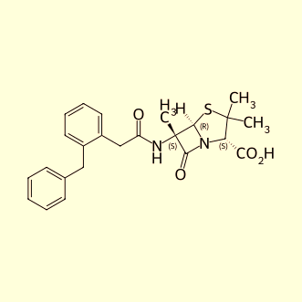 CC1(C)S[C@H]2N(C(=O)[C@]2(C)NC(=O)Cc2ccccc2Cc2ccccc2)[C@H]1C(=O)O